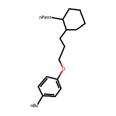 CCCCCC1CCCCC1CCCOc1ccc(CCCC)cc1